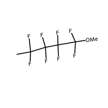 COC(F)(F)C(F)(F)C(F)(F)C(C)(F)F